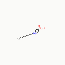 CCCCCCCCCCCNc1ccc(C(=O)O)cc1